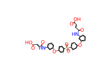 O=C(O)/C=C/C(=O)Nc1cccc(Oc2ccc(S(=O)(=O)c3ccc(Oc4cccc(NC(=O)/C=C/C(=O)O)c4)cc3)cc2)c1